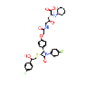 O=C(CNC(=O)COc1ccc([C@@H]2[C@@H](SCC(O)c3ccc(F)cc3)C(=O)N2c2ccc(F)cc2)cc1)C[C@@H](NC1CCCCC1)C(=O)O